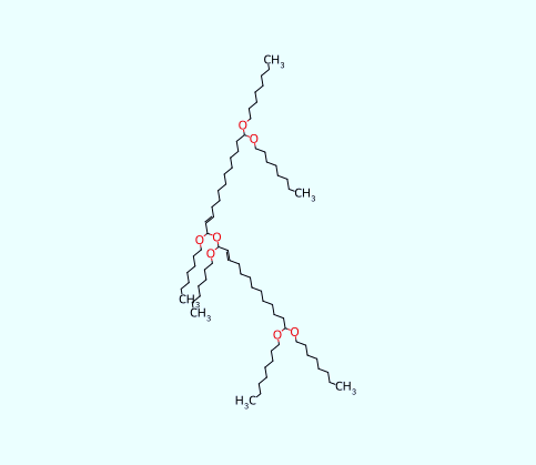 CCCCCCCCOC(CCCCCCCCCC=CC(OCCCCCCC)OC(C=CCCCCCCCCCC(OCCCCCCCC)OCCCCCCCC)OCCCCCCC)OCCCCCCCC